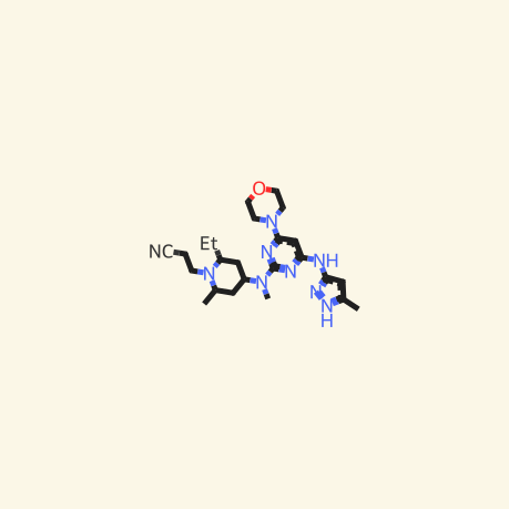 CCC1CC(N(C)c2nc(Nc3cc(C)[nH]n3)cc(N3CCOCC3)n2)CC(C)N1CCC#N